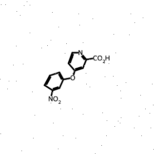 O=C(O)c1cc(Oc2cccc([N+](=O)[O-])c2)ccn1